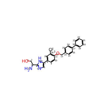 NC(CO)c1ncc(-c2ccc(OCc3ccc(-c4ccccc4)cc3)c(C(F)(F)F)c2)[nH]1